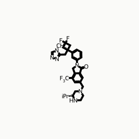 CC(C)[C@H]1CN(Cc2cc3c(c(C(F)(F)F)c2)CN(c2cccc(C4(Cc5nncn5C)CC(F)(F)C4)c2)C3=O)CCN1